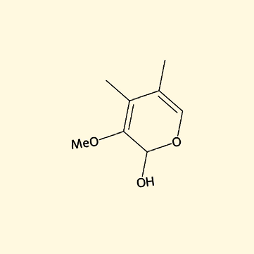 COC1=C(C)C(C)=COC1O